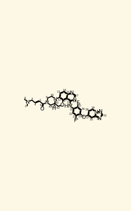 CN(C)C/C=C/C(=O)N1CCN2c3ccc4ncnc(Nc5cc(F)c(Oc6ccn7ncnc7c6)cc5F)c4c3OC[C@@H]2C1